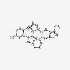 Cn1ncc2ccc(-n3cnnc3-c3c(-c4cc(Cl)ccc4Cl)nc4ccccn34)cc21